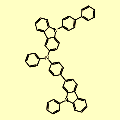 c1ccc(-c2ccc(-n3c4ccccc4c4cc(N(c5ccccc5)c5ccc(-c6ccc7c8ccccc8n(-c8ccccc8)c7c6)cc5)ccc43)cc2)cc1